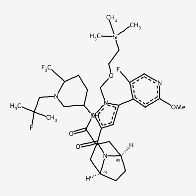 COc1cc(-c2cc(C(=O)N3[C@@H]4CC[C@H]3CC(C(=O)NC3CCC(C(F)(F)F)N(CC(C)(C)F)C3)C4)nn2COCC[Si](C)(C)C)c(F)cn1